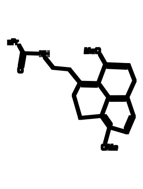 CCCC(=O)NCCC1=C2C(OC)=CCc3ccc(OC)c(c32)CC1